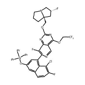 CC(C)[Si](Oc1cc(-c2ncc3c(OCC(F)(F)F)nc(OC[C@@]45CCCN4C[C@H](F)C5)nc3c2F)c2c(Cl)c(F)ccc2c1)(C(C)C)C(C)C